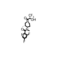 C[C@@H]1CN(C(=O)[C@@H](O)C(F)(F)F)CC[C@@H]1N(C)C(=O)c1ncc(F)cc1F